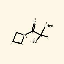 CCCCCCC(C)(CCCC)C(=O)N1CCC1